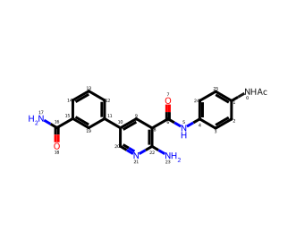 CC(=O)Nc1ccc(NC(=O)c2cc(-c3cccc(C(N)=O)c3)cnc2N)cc1